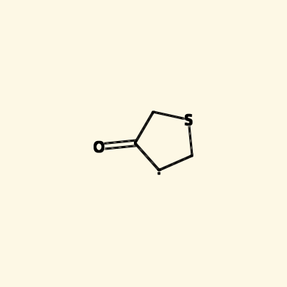 O=C1[CH]CSC1